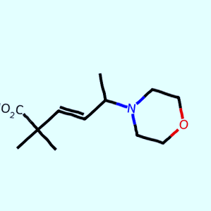 CC(C=CC(C)(C)C(=O)O)N1CCOCC1